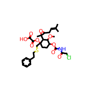 COC1C(OC(=O)NC(=O)CCl)CCC(CSCCc2ccccc2)(OC(=O)C(=O)O)C1C1(C)OC1CC=C(C)C